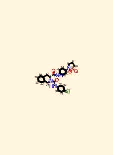 O=C(Nc1ccc(N2CCCS2(=O)=O)cc1)[C@H]1Cc2ccccc2CN1C(=O)Nc1ccc(Cl)cc1